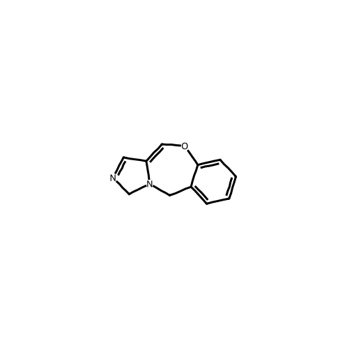 C1=NCN2Cc3ccccc3OC=C12